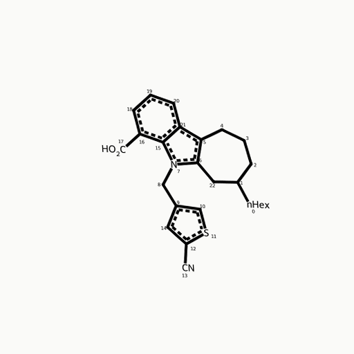 CCCCCCC1CCCc2c(n(Cc3csc(C#N)c3)c3c(C(=O)O)cccc23)C1